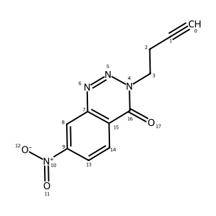 C#CCCn1nnc2cc([N+](=O)[O-])ccc2c1=O